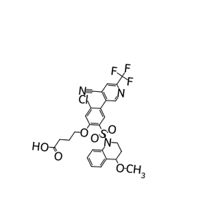 COC1CCN(S(=O)(=O)c2cc(-c3cnc(C(F)(F)F)cc3C#N)c(Cl)cc2OCCCC(=O)O)c2ccccc21